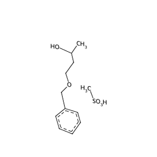 CC(O)CCOCc1ccccc1.CS(=O)(=O)O